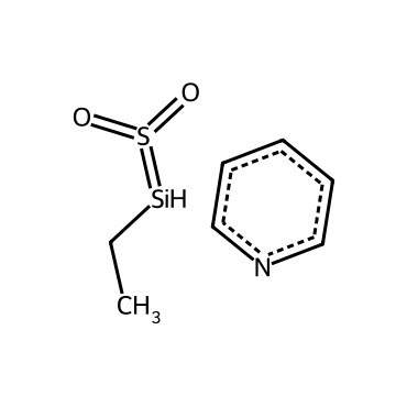 CC[SiH]=S(=O)=O.c1ccncc1